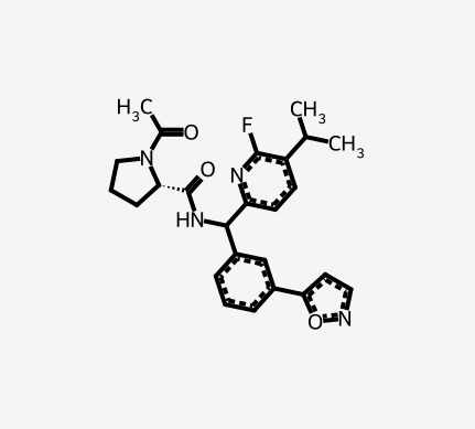 CC(=O)N1CCC[C@H]1C(=O)NC(c1cccc(-c2ccno2)c1)c1ccc(C(C)C)c(F)n1